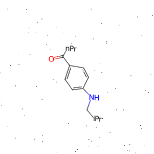 CCCC(=O)c1ccc(NCC(C)C)cc1